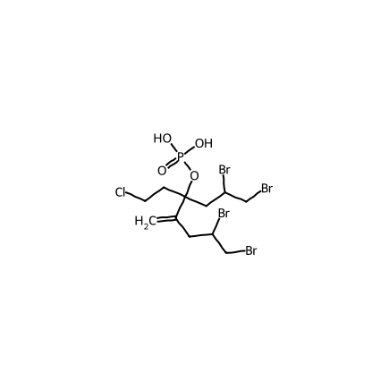 C=C(CC(Br)CBr)C(CCCl)(CC(Br)CBr)OP(=O)(O)O